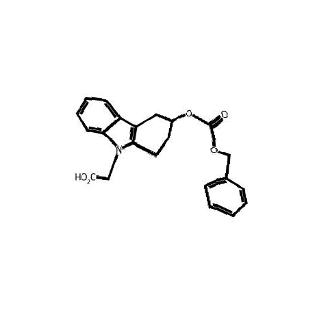 O=C(O)Cn1c2c(c3ccccc31)CC(OC(=O)OCc1ccccc1)CC2